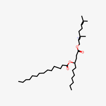 CCCCCCCCCCCCCC(=O)OC(CCCCCCC)CCC(=O)OC/C=C(\C)CCC=C(C)C